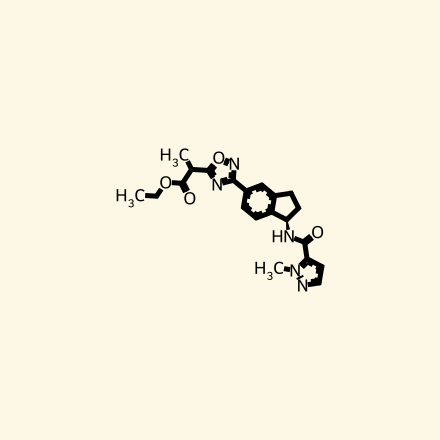 CCOC(=O)C(C)c1nc(-c2ccc3c(c2)CC[C@H]3NC(=O)c2ccnn2C)no1